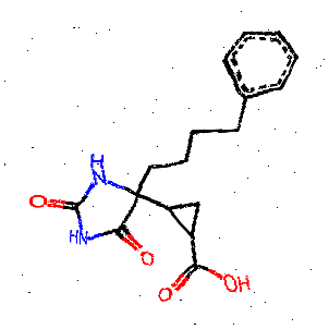 O=C1NC(=O)C(CCCCc2ccccc2)(C2CC2C(=O)O)N1